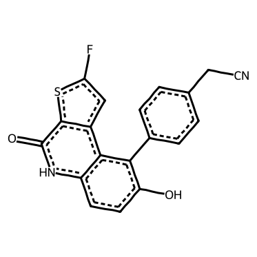 N#CCc1ccc(-c2c(O)ccc3[nH]c(=O)c4sc(F)cc4c23)cc1